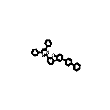 c1ccc(-c2ccc(-c3ccc4oc5c(-c6nc(-c7ccccc7)cc(-c7ccccc7)n6)cccc5c4c3)cc2)cc1